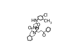 Cc1cc(NC(=O)CNC(=O)C2Cc3ccccc3CN2C(=O)CCC(=O)c2ccccc2)ccc1Cl